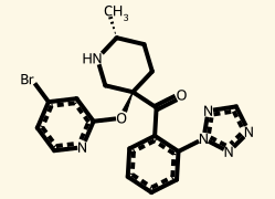 C[C@@H]1CC[C@](Oc2cc(Br)ccn2)(C(=O)c2ccccc2-n2ncnn2)CN1